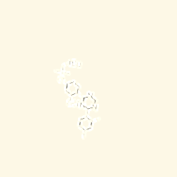 Cc1ccc(-c2ncnc(-c3ccc(OC(C)(C)CC(C)(C)C)cc3O)n2)c(C)c1